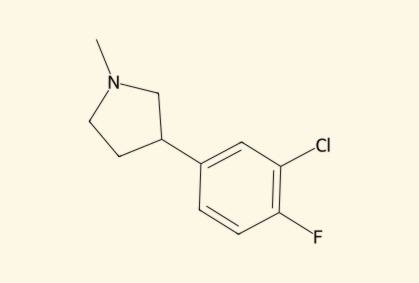 CN1CCC(c2ccc(F)c(Cl)c2)C1